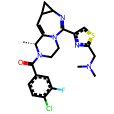 C[C@@H]1C2=CC3CC3N=C(c3csc(CN(C)C)n3)N2CCN1C(=O)c1ccc(Cl)c(F)c1